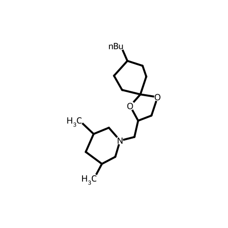 CCCCC1CCC2(CC1)OCC(CN1CC(C)CC(C)C1)O2